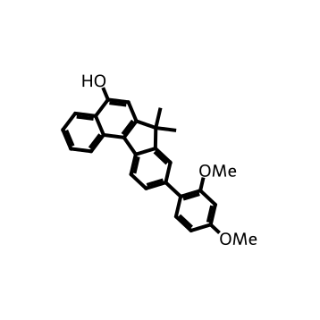 COc1ccc(-c2ccc3c(c2)C(C)(C)c2cc(O)c4ccccc4c2-3)c(OC)c1